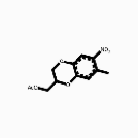 CC(=O)OCC1COc2cc([N+](=O)[O-])c(C)cc2O1